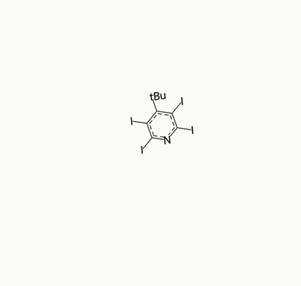 CC(C)(C)c1c(I)c(I)nc(I)c1I